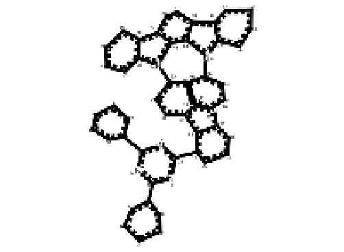 c1ccc(-c2nc(-c3ccccc3)nc(-c3cccc4oc5cc(-n6c7ccccc7c7ccc8c9ccccc9n(-c9ccccc9)c8c76)ccc5c34)n2)cc1